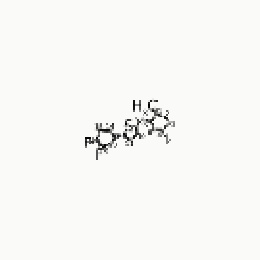 Cc1ccc(I)cc1Cc1ccc(-c2ccc(F)c(F)c2)s1